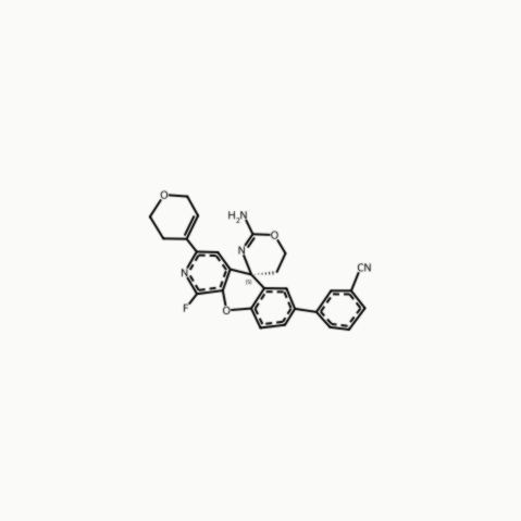 N#Cc1cccc(-c2ccc3c(c2)[C@@]2(CCOC(N)=N2)c2cc(C4=CCOCC4)nc(F)c2O3)c1